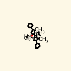 CC1=[C]([Hf+2]2([C]3=C(C)C(c4ccccc4)=CC3C)[CH2][CH2]2)C(C)C=C1c1ccccc1.[Cl-].[Cl-]